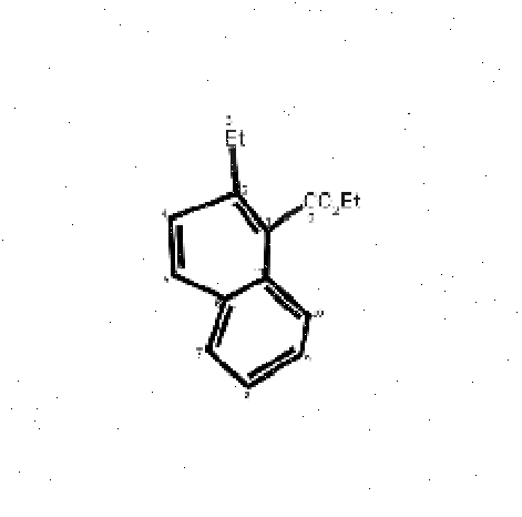 CCOC(=O)c1c(CC)ccc2ccccc12